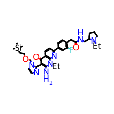 CCN1CCCC1CNC(=O)Cc1ccc(-c2ccc3c(=O)c(-c4nccn4COCC[Si](C)(C)C)c(N)n(CC)c3n2)cc1F